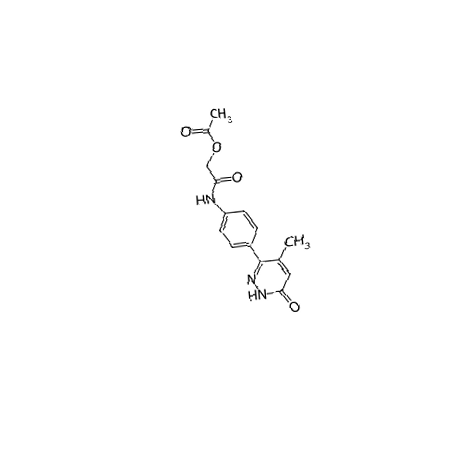 CC(=O)OCC(=O)Nc1ccc(-c2n[nH]c(=O)cc2C)cc1